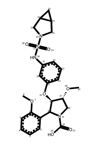 COc1ccccc1C1[C@@H](Oc2cccc(NS(=O)(=O)N3CC4CC4C3)c2)[C@H](OC)CN1C(=O)O